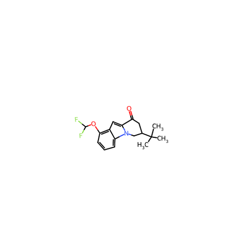 CC(C)(C)C1CC(=O)c2cc3c(OC(F)F)cccc3n2C1